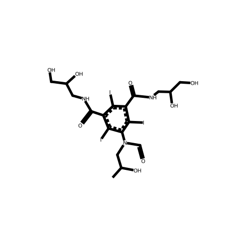 CC(O)CN(C=O)c1c(I)c(C(=O)NCC(O)CO)c(I)c(C(=O)NCC(O)CO)c1I